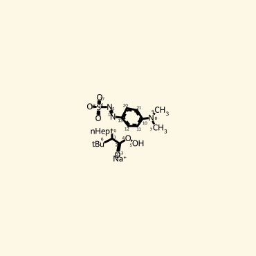 CCCCCCCC(C(=O)OO)C(C)(C)C.CN(C)c1ccc(/N=N/S(=O)(=O)[O-])cc1.[Na+]